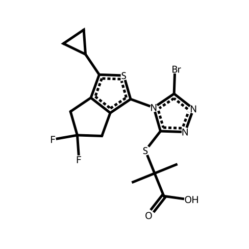 CC(C)(Sc1nnc(Br)n1-c1sc(C2CC2)c2c1CC(F)(F)C2)C(=O)O